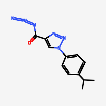 CC(C)c1ccc(-n2cc(C(=O)N=[N+]=[N-])nn2)cc1